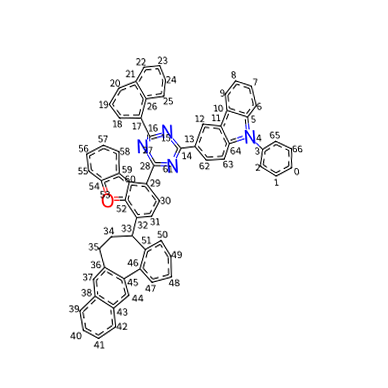 c1ccc(-n2c3ccccc3c3cc(-c4nc(-c5cccc6ccccc56)nc(-c5ccc(C6CCc7cc8ccccc8cc7-c7ccccc76)c6oc7ccccc7c56)n4)ccc32)cc1